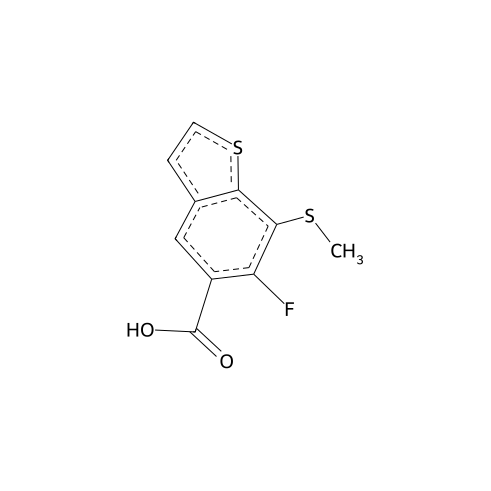 CSc1c(F)c(C(=O)O)cc2ccsc12